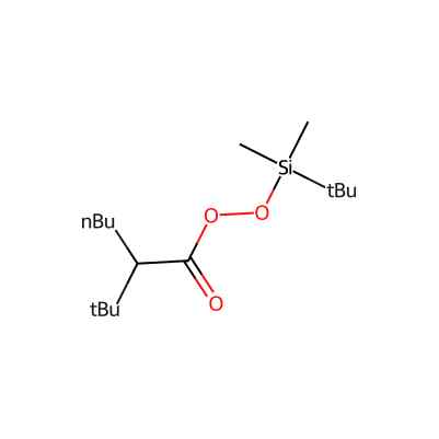 CCCCC(C(=O)OO[Si](C)(C)C(C)(C)C)C(C)(C)C